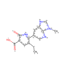 CCc1cc(C(=O)O)c(=O)[nH]c1-c1cnc2c(c1)ncn2C